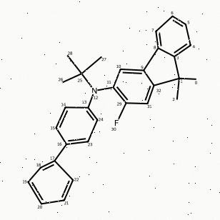 CC1(C)c2ccccc2-c2cc(N(c3ccc(-c4ccccc4)cc3)C(C)(C)C)c(F)cc21